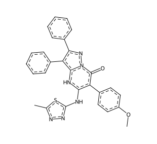 COc1ccc(-c2c(Nc3nnc(C)s3)[nH]c3c(-c4ccccc4)c(-c4ccccc4)nn3c2=O)cc1